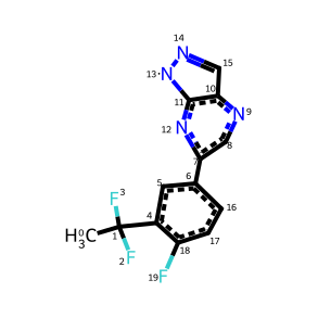 CC(F)(F)c1cc(-c2cnc3c(n2)[N]N=C3)ccc1F